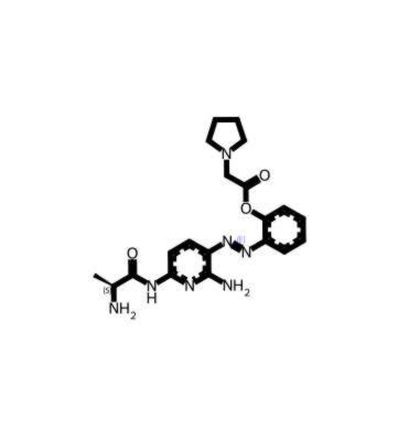 C[C@H](N)C(=O)Nc1ccc(/N=N/c2ccccc2OC(=O)CN2CCCC2)c(N)n1